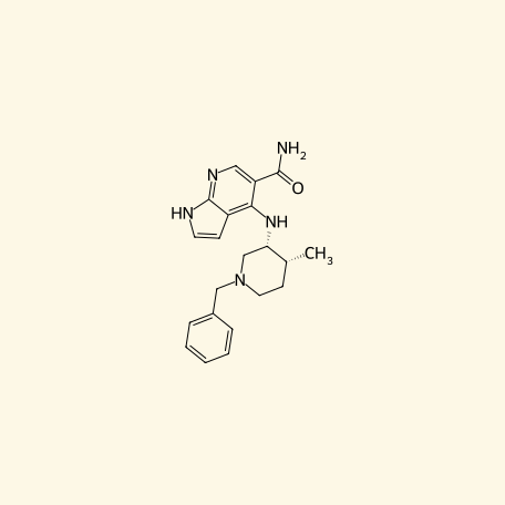 C[C@@H]1CCN(Cc2ccccc2)C[C@@H]1Nc1c(C(N)=O)cnc2[nH]ccc12